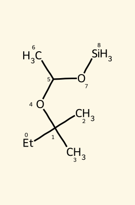 CCC(C)(C)OC(C)O[SiH3]